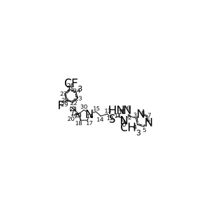 CN1C(c2ccncn2)=NNC1SCCCN1CC[C@]2(C[C@@H]2c2ccc(C(F)(F)F)cc2F)C1